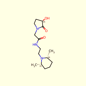 C[C@@H]1CCC[C@H](C)N1CCNC(=O)CN1CC[C@@H](O)C1=O